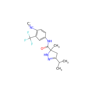 [C-]#[N+]c1ccc(NC(=O)C2(C)CC(C(C)C)=NN2)cc1C(F)(F)F